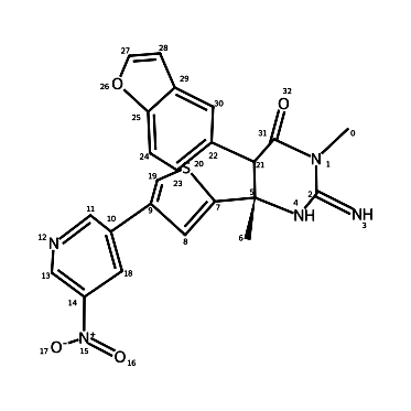 CN1C(=N)N[C@](C)(c2cc(-c3cncc([N+](=O)[O-])c3)cs2)C(c2ccc3occc3c2)C1=O